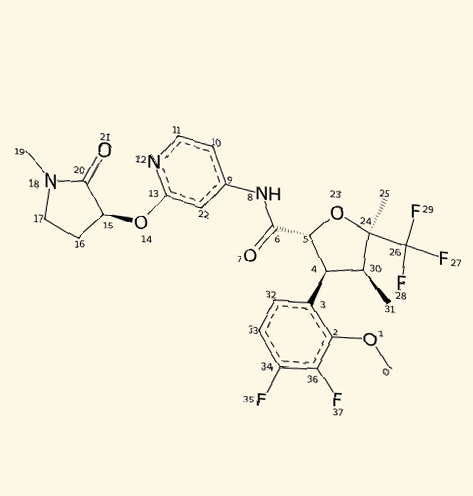 COc1c([C@H]2[C@H](C(=O)Nc3ccnc(O[C@H]4CCN(C)C4=O)c3)O[C@@](C)(C(F)(F)F)[C@H]2C)ccc(F)c1F